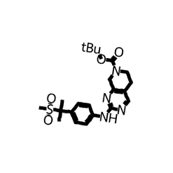 CC(C)(C)OC(=O)N1CCc2cnc(Nc3ccc(C(C)(C)S(C)(=O)=O)cc3)nc2C1